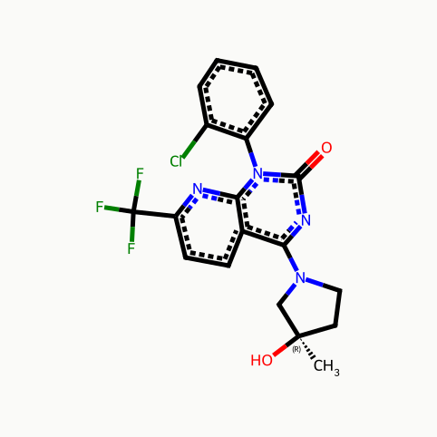 C[C@@]1(O)CCN(c2nc(=O)n(-c3ccccc3Cl)c3nc(C(F)(F)F)ccc23)C1